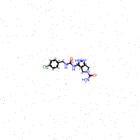 NC(=O)N1Cc2n[nH]c(NC(=O)NCc3ccc(Cl)cc3)c2C1